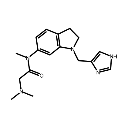 CN(C)CC(=O)N(C)c1ccc2c(c1)N(Cc1c[nH]cn1)CC2